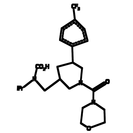 CC(C)N(CC1CC(c2ccc(C(F)(F)F)cc2)CN(C(=O)N2CCOCC2)C1)C(=O)O